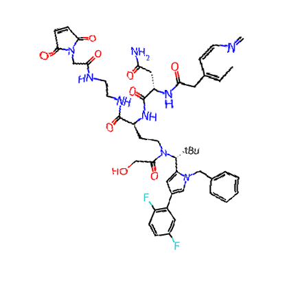 C=N/C=C\C(=C/C)CC(=O)N[C@@H](CC(N)=O)C(=O)N[C@@H](CCN(C(=O)CO)[C@@H](c1cc(-c2cc(F)ccc2F)cn1Cc1ccccc1)C(C)(C)C)C(=O)NCCNC(=O)CN1C(=O)C=CC1=O